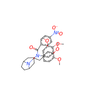 COc1ccc(CCN2C3CCC2CC(N(C(=O)c2ccc([N+](=O)[O-])cc2)c2ccc(OC)c(OC)c2)C3)cc1OC